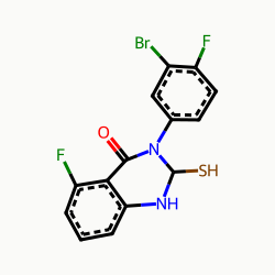 O=C1c2c(F)cccc2NC(S)N1c1ccc(F)c(Br)c1